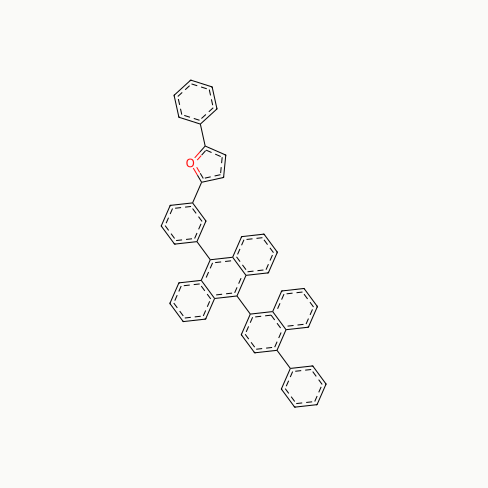 c1ccc(-c2ccc(-c3cccc(-c4c5ccccc5c(-c5ccc(-c6ccccc6)c6ccccc56)c5ccccc45)c3)o2)cc1